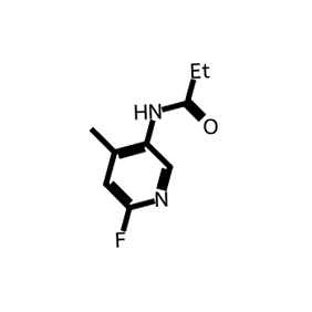 CCC(=O)Nc1cnc(F)cc1C